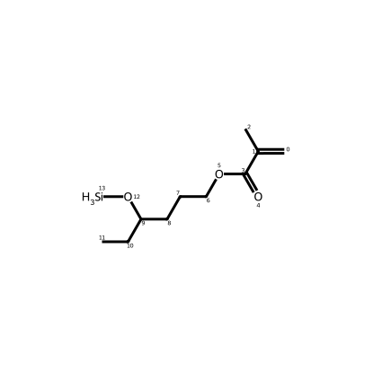 C=C(C)C(=O)OCCCC(CC)O[SiH3]